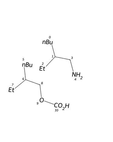 CCCCC(CC)CN.CCCCC(CC)COC(=O)O